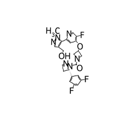 Cn1ncc(CO)c1-c1cc(OC2CN(C(=O)N3N=CC[C@H]3c3cc(F)cc(F)c3)C2)c(F)cn1